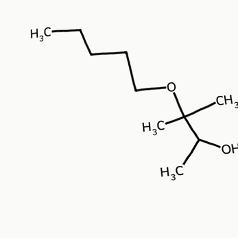 CCCCCOC(C)(C)C(C)O